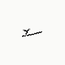 C=CCP(CCCCCCCCCCCC)CCC(C#N)C#N